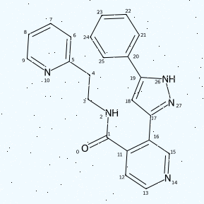 O=C(NCCc1ccccn1)c1ccncc1-c1cc(-c2ccccc2)[nH]n1